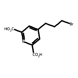 O=C(O)c1cc(CCCBr)cc(C(=O)O)n1